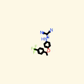 CC(Oc1ccc(NN=C(C#N)C#N)cc1)c1ccc(C(F)(F)F)cc1